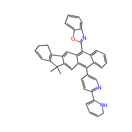 CC1(C)C2=C(CCC=C2)c2cc3c(-c4nc5ccccc5o4)c4ccccc4c(-c4ccc(C5=CC=CCN5)nc4)c3cc21